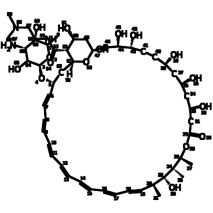 CC1O[C@@H](O[C@H]2/C=C/C=C/C=C/C=C/C=C/C=C/C=C/[C@H](C)[C@@H](O)[C@@H](C)[C@H](C)OC(=O)C[C@H](O)C[C@H](O)C[C@H](O)CC[C@@H](O)[C@H](O)C[C@]3(O)C[C@H](O)[C@@H](C(=O)NCCN(C)C)[C@H](C2)O3)C(O)[C@H](N)[C@@H]1O